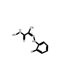 CCCNC(=O)/C(C#N)=N\Nc1ccccc1Cl